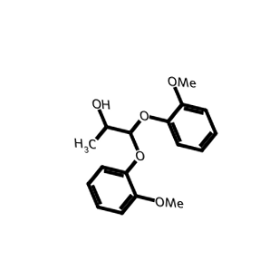 COc1ccccc1OC(Oc1ccccc1OC)C(C)O